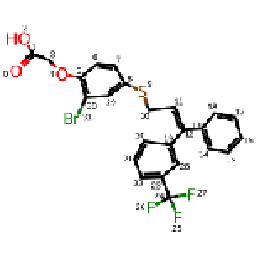 O=C(O)COc1ccc(SC/C=C(/c2ccccc2)c2cccc(C(F)(F)F)c2)cc1Br